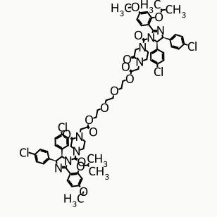 COc1ccc(C2=N[C@@H](c3ccc(Cl)cc3)[C@@H](c3ccc(Cl)cc3)N2C(=O)N2CCN(CC(=O)OCCOCCOCCOC(=O)CN3CCN(C(=O)N4C(c5ccc(OC)cc5OC(C)C)=N[C@@H](c5ccc(Cl)cc5)[C@H]4c4ccc(Cl)cc4)CC3=O)C(=O)C2)c(OC(C)C)c1